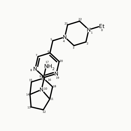 CCN1CCN(Cc2cnc(N3C4CCC3CN(N)C4)nc2)CC1